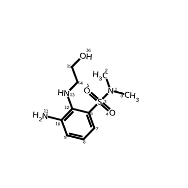 CN(C)S(=O)(=O)c1cccc(N)c1NCCO